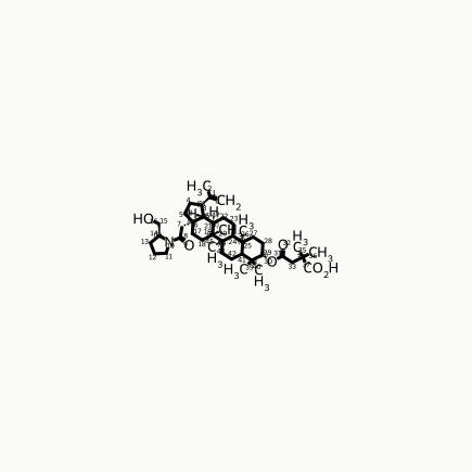 C=C(C)[C@@H]1CC[C@]2(CC(=O)N3CCC[C@H]3CO)CC[C@]3(C)[C@H](CCC4[C@@]5(C)CC[C@H](OC(=O)CC(C)(C)C(=O)O)C(C)(C)C5CC[C@]43C)[C@@H]12